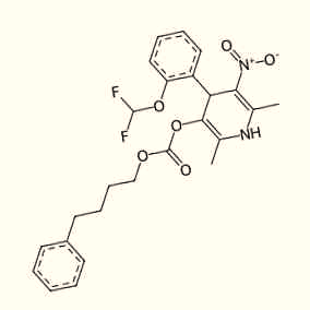 CC1=C(OC(=O)OCCCCc2ccccc2)C(c2ccccc2OC(F)F)C([N+](=O)[O-])=C(C)N1